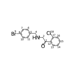 O=C(CNCc1ccc(Br)cc1)c1ccccc1Cl